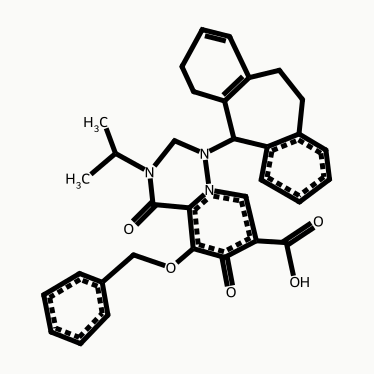 CC(C)N1CN(C2C3=C(C=CCC3)CCc3ccccc32)n2cc(C(=O)O)c(=O)c(OCc3ccccc3)c2C1=O